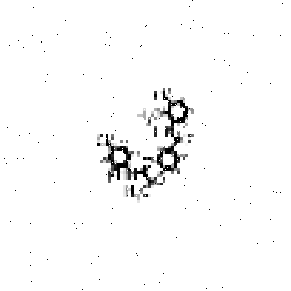 Cc1c(Cl)cccc1NC(=O)c1ccc(O[C@@H](C)C(=O)Nc2ccc(Cl)cc2F)cc1